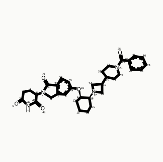 O=C1CCC(N2Cc3cc(O[C@@H]4CCCC[C@@H]4N4CC(C5CCN(C(=O)c6ccccc6)CC5)C4)ccc3C2=O)C(=O)N1